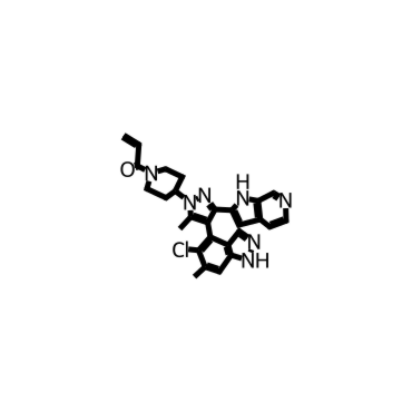 C=CC(=O)N1CCC(n2nc(-c3cc4ccncc4[nH]3)c(-c3c(Cl)c(C)cc4[nH]ncc34)c2C)CC1